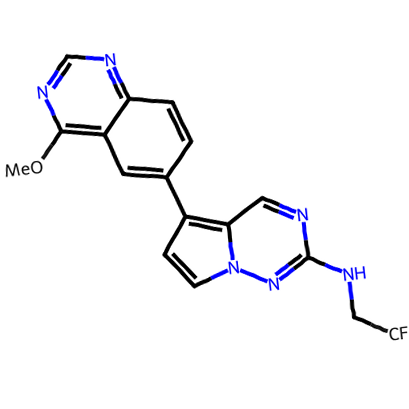 COc1ncnc2ccc(-c3ccn4nc(NCC(F)(F)F)ncc34)cc12